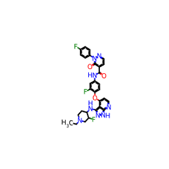 CCN1CCC(Nc2n[nH]c3nccc(Oc4ccc(NC(=O)c5ccnn(-c6ccc(F)cc6)c5=O)cc4F)c23)C(F)C1